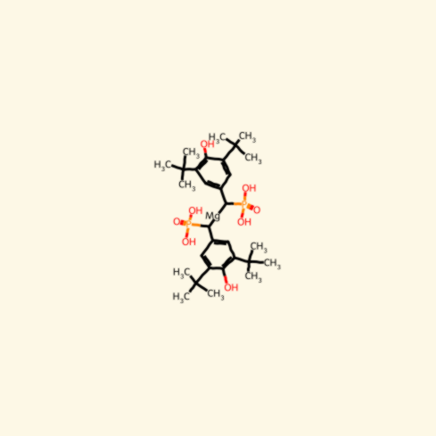 CC(C)(C)c1cc([CH]([Mg][CH](c2cc(C(C)(C)C)c(O)c(C(C)(C)C)c2)P(=O)(O)O)P(=O)(O)O)cc(C(C)(C)C)c1O